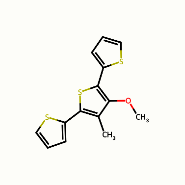 COc1c(-c2cccs2)sc(-c2cccs2)c1C